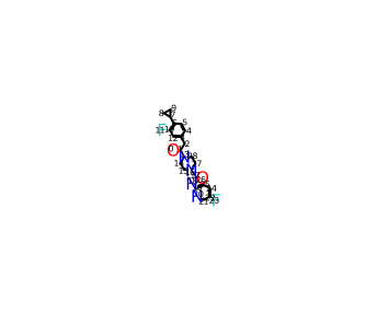 O=C(Cc1ccc(C2CC2)c(F)c1)N1CCN(c2nc3ncc(F)cc3o2)CC1